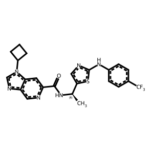 C[C@@H](NC(=O)c1cc2c(cn1)ncn2C1CCC1)c1cnc(Nc2ccc(C(F)(F)F)cc2)s1